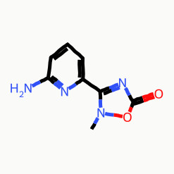 Cn1oc(=O)nc1-c1cccc(N)n1